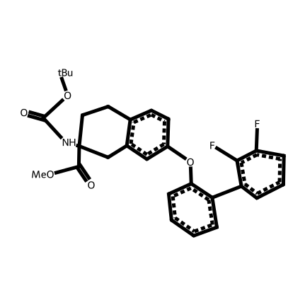 COC(=O)C1(NC(=O)OC(C)(C)C)CCc2ccc(Oc3ccccc3-c3cccc(F)c3F)cc2C1